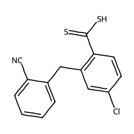 N#Cc1ccccc1Cc1cc(Cl)ccc1C(=S)S